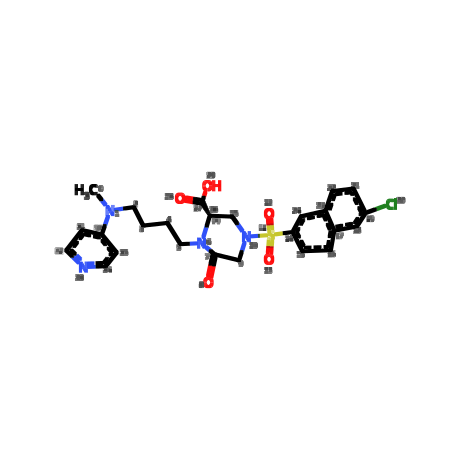 CN(CCCCN1C(=O)CN(S(=O)(=O)c2ccc3cc(Cl)ccc3c2)C[C@@H]1C(=O)O)c1ccncc1